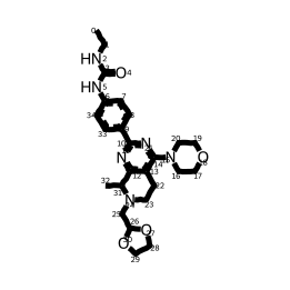 CCNC(=O)Nc1ccc(-c2nc3c(c(N4CCOCC4)n2)CCN(CC2OCCO2)C3C)cc1